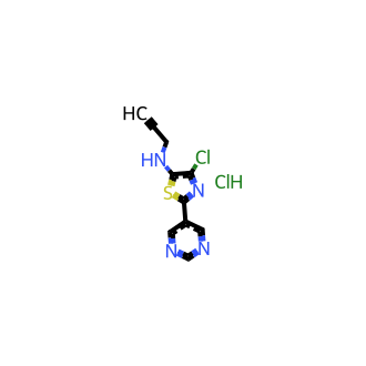 C#CCNc1sc(-c2cncnc2)nc1Cl.Cl